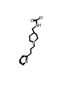 CCC(=O)NCC1CCN(CCCc2ccccn2)CC1